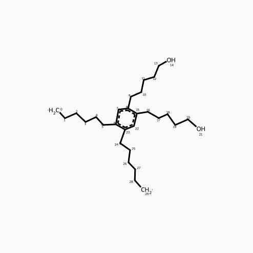 [CH2]CCCC[CH]c1cc(CCCCCO)c(CCCCCO)cc1[CH]CCCC[CH2]